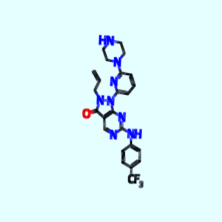 C=CCn1c(=O)c2cnc(Nc3ccc(C(F)(F)F)cc3)nc2n1-c1cccc(N2CCNCC2)n1